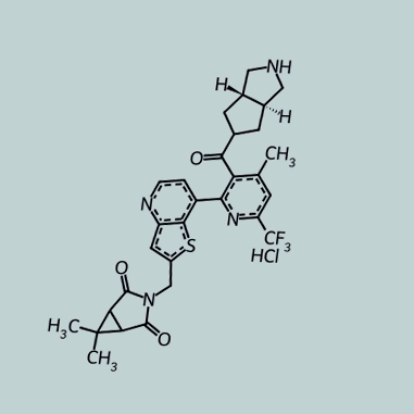 Cc1cc(C(F)(F)F)nc(-c2ccnc3cc(CN4C(=O)C5C(C4=O)C5(C)C)sc23)c1C(=O)C1C[C@@H]2CNC[C@H]2C1.Cl